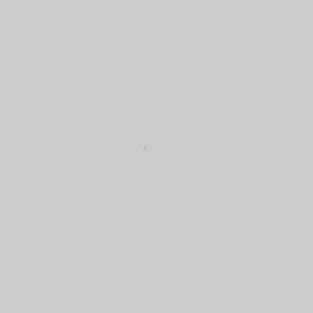 CC1(CNC(=O)C2CCCCCCC2)CCC1